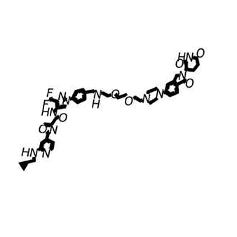 O=C1CCC(N2Cc3cc(N4CCN(CCOCCOCCNCc5ccc(-n6cc(NC(=O)c7coc(-c8ccnc(NCC9CC9)c8)n7)c(C(F)F)n6)cc5)CC4)ccc3C2=O)C(=O)N1